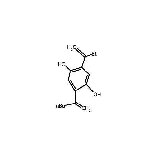 C=C(CC)c1cc(O)c(C(=C)CCCC)cc1O